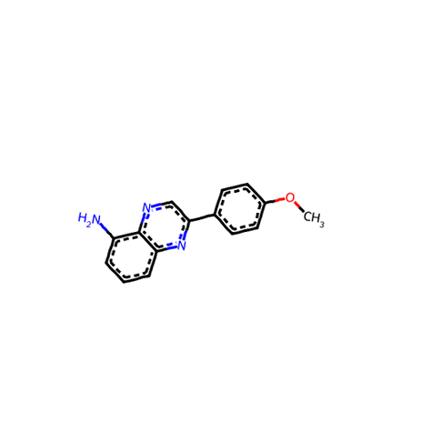 COc1ccc(-c2cnc3c(N)cccc3n2)cc1